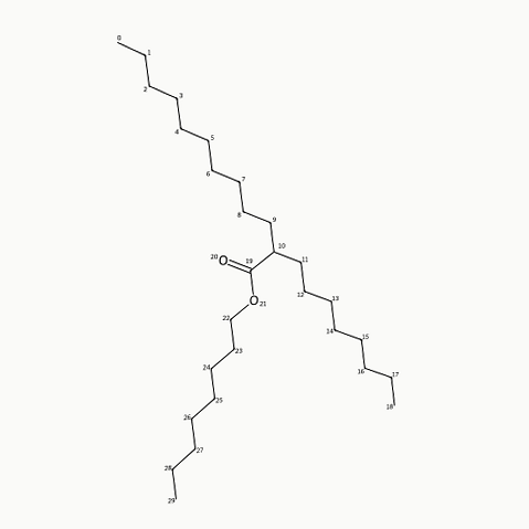 CCCCCCCCCCC(CCCCCCCC)C(=O)OCCCCCCCC